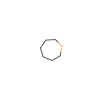 C1CCC[P]CC1